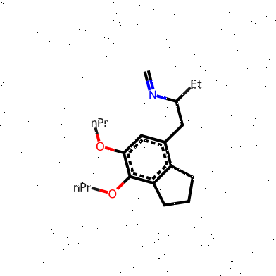 C=NC(CC)Cc1cc(OCCC)c(OCCC)c2c1CCC2